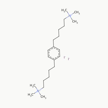 C[N+](C)(C)CCCCCc1ccc(CCCCC[N+](C)(C)C)cc1.[I-].[I-]